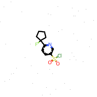 O=S(=O)(Cl)c1ccc(C2(F)CCCC2)nc1